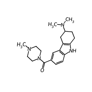 CN1CCN(C(=O)c2ccc3[nH]c4c(c3c2)CC(N(C)C)CC4)CC1